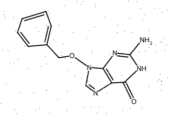 Nc1nc2c(ncn2OCc2ccccc2)c(=O)[nH]1